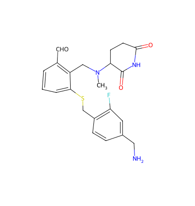 CN(Cc1c(C=O)cccc1SCc1ccc(CN)cc1F)C1CCC(=O)NC1=O